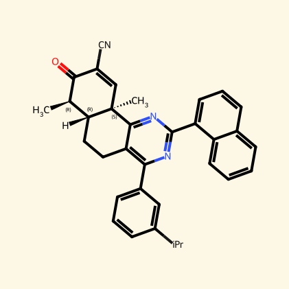 CC(C)c1cccc(-c2nc(-c3cccc4ccccc34)nc3c2CC[C@@H]2[C@@H](C)C(=O)C(C#N)=C[C@@]32C)c1